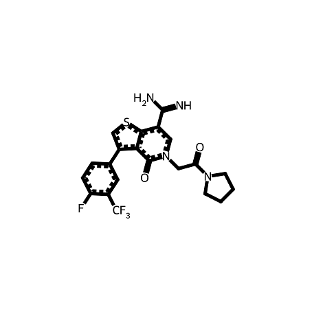 N=C(N)c1cn(CC(=O)N2CCCC2)c(=O)c2c(-c3ccc(F)c(C(F)(F)F)c3)csc12